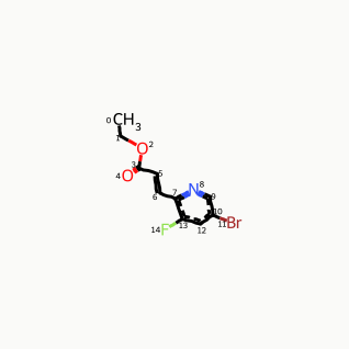 CCOC(=O)/C=C/c1ncc(Br)cc1F